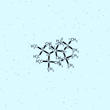 C[Si](C)(C)[N]([Si](C)(C)C)[Ta]([CH3])([CH3])([CH3])[N]([Si](C)(C)C)[Si](C)(C)C